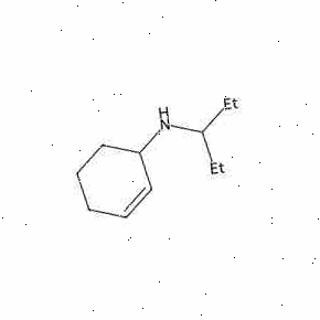 CCC(CC)NC1C=CCCC1